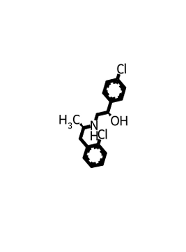 C[C@H](Cc1ccccc1Cl)NC[C@H](O)c1ccc(Cl)cc1